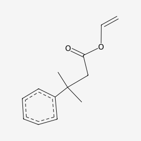 C=COC(=O)CC(C)(C)c1ccccc1